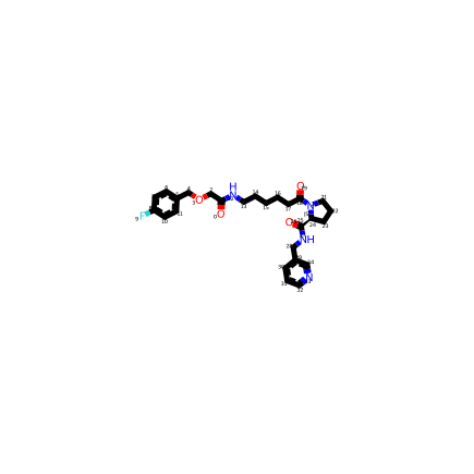 O=C(COCc1ccc(F)cc1)NCCCCCC(=O)N1CCC[C@H]1C(=O)NCc1cccnc1